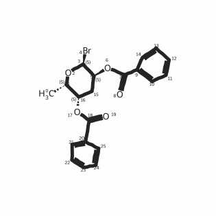 C[C@@H]1O[C@@H](Br)[C@@H](OC(=O)c2ccccc2)C[C@@H]1OC(=O)c1ccccc1